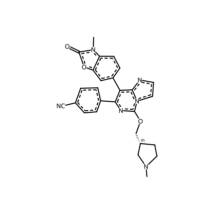 CN1CC[C@@H](COc2nc(-c3ccc(C#N)cc3)c(-c3ccc4c(c3)oc(=O)n4C)c3nccn23)C1